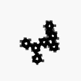 c1ccc(-c2cc(-c3ccc4c(c3)c3ccccc3c3ccc5c6ccccc6sc5c34)nc(-c3ccccc3)n2)cc1